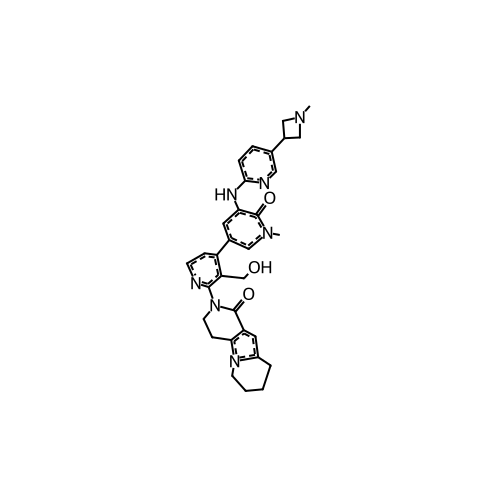 CN1CC(c2ccc(Nc3cc(-c4ccnc(N5CCc6c(cc7n6CCCC7)C5=O)c4CO)cn(C)c3=O)nc2)C1